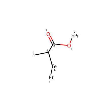 CCCOC(=O)C(C)[Te]CC